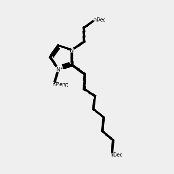 CCCCCCCCCCCCCCCCCc1n(CCCCCCCCCCCC)cc[n+]1CCCCC